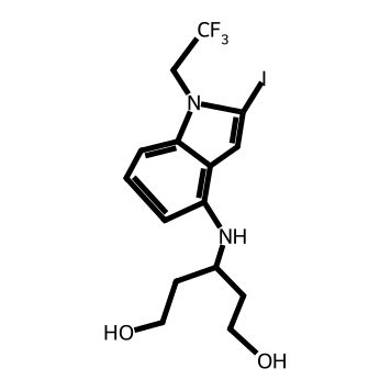 OCCC(CCO)Nc1cccc2c1cc(I)n2CC(F)(F)F